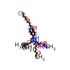 CCC(=O)CCCCCC(NC(=O)COC(=O)NC)c1nc(-c2ccc3c(=O)n(CCCCOCCCCCl)ccc3c2)cn1COCC[Si](C)(C)C